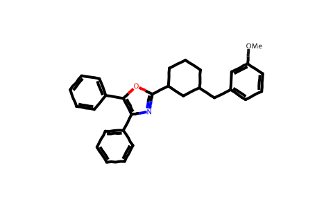 COc1cccc(CC2CCCC(c3nc(-c4ccccc4)c(-c4ccccc4)o3)C2)c1